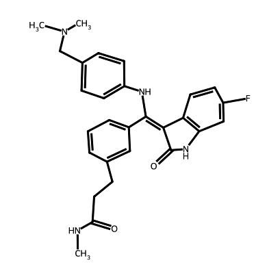 CNC(=O)CCc1cccc(C(Nc2ccc(CN(C)C)cc2)=C2C(=O)Nc3cc(F)ccc32)c1